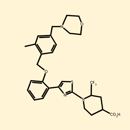 Cc1cc(CN2CCOCC2)ccc1COc1ccccc1-c1csc(N2CCC(C(=O)O)CC2C(F)(F)F)n1